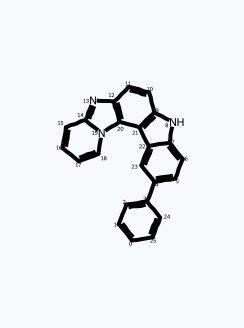 c1ccc(-c2ccc3[nH]c4ccc5nc6ccccn6c5c4c3c2)cc1